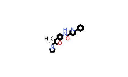 CC1=C(CN2CCCC2)COc2cc(NC(=O)c3ccc(-c4ccccc4)nc3)ccc21